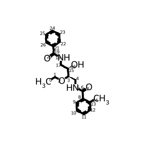 CCO[C@H](CNC(=O)c1ccccc1C)[C@@H](O)CNC(=O)c1ccccc1